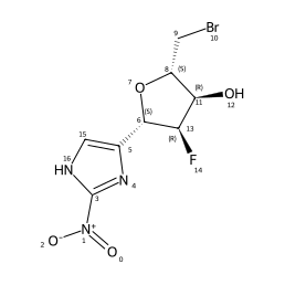 O=[N+]([O-])c1nc([C@@H]2O[C@H](CBr)[C@@H](O)[C@H]2F)c[nH]1